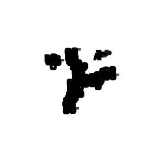 O=P([O][Mo](=[O])(=[O])[O][Mo](=[O])(=[O])[O][Mo](=[O])(=[O])[O][Mo](=[O])(=[O])[O-])([O][Mo](=[O])(=[O])[O][Mo](=[O])(=[O])[O][Mo](=[O])(=[O])[O][Mo](=[O])(=[O])[O-])[O][Mo](=[O])(=[O])[O][Mo](=[O])(=[O])[O][Mo](=[O])(=[O])[O][Mo](=[O])(=[O])[O-].O=S(=O)([O-])[O-].[Al+3].[Ba+2].[Zn+2]